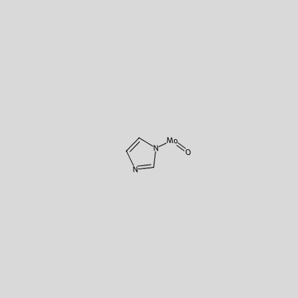 [O]=[Mo][n]1ccnc1